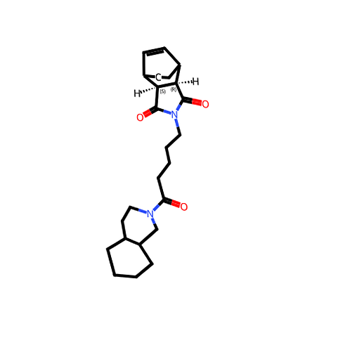 O=C(CCCCN1C(=O)[C@@H]2C3C=CC(CC3)[C@@H]2C1=O)N1CCC2CCCCC2C1